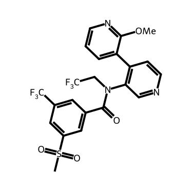 COc1ncccc1-c1ccncc1N(CC(F)(F)F)C(=O)c1cc(C(F)(F)F)cc(S(C)(=O)=O)c1